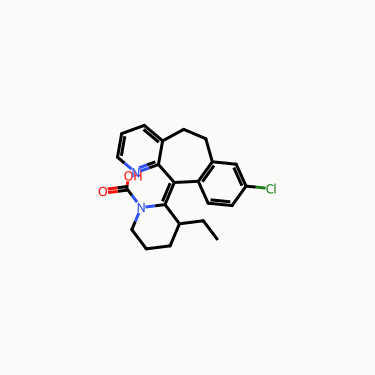 CCC1CCCN(C(=O)O)C1=C1c2ccc(Cl)cc2CCc2cccnc21